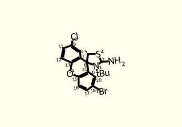 CC(C)(C)N1C(N)SCC12c1cc(Cl)ccc1Oc1ccc(Br)cc12